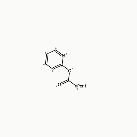 CCCCCC(=O)Oc1c[c]ccn1